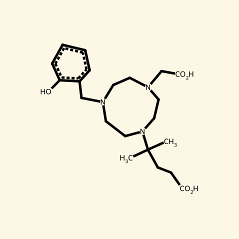 CC(C)(CCC(=O)O)N1CCN(CC(=O)O)CCN(Cc2ccccc2O)CC1